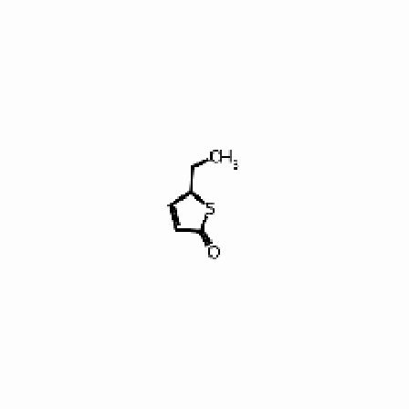 CCC1C=CC(=O)S1